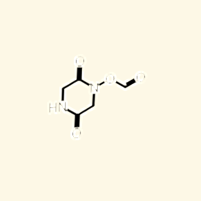 O=CON1CC(=O)NCC1=O